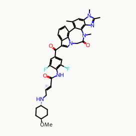 CO[C@H]1CC[C@H](NC/C=C/C(=O)Nc2c(F)cc(C(=O)c3cn4c5c(cccc35)-c3c(C)cc5c(nc(C)n5C)c3N(C)C(=O)C4)cc2F)CC1